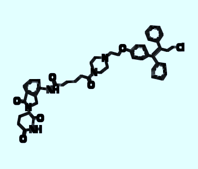 O=C1CCC(N2Cc3c(NC(=O)CCCCC(=O)N4CCN(CCOc5ccc(C(=C(CCCl)c6ccccc6)c6ccccc6)cc5)CC4)cccc3C2=O)C(=O)N1